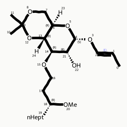 C/C=C/O[C@H]1O[C@@H]2COC(C)(C)O[C@H]2[C@H](OCC[C@@H](CCCCCCC)OC)[C@H]1O